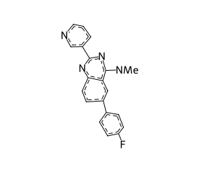 CNc1nc(-c2cccnc2)nc2ccc(-c3ccc(F)cc3)cc12